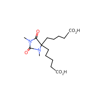 CN1C(=O)N(C)C(CCCCC(=O)O)(CCCCC(=O)O)C1=O